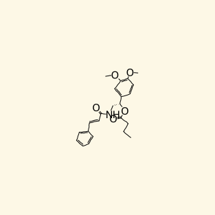 CCCC(=O)O[C@H](CNC(=O)/C=C/c1ccccc1)c1ccc(OC)c(OC)c1